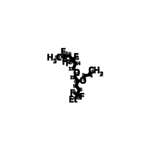 C=CCOC(CCC(F)(F)CC)COCCC(F)(F)CC(C)(F)F